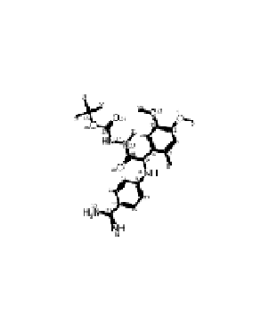 COc1cc(C)c(C(Nc2ccc(C(=N)N)cc2)C(=O)N(C)NC(=O)OC(C)(C)C)cc1OC